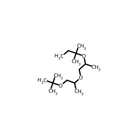 CCC(C)(C)OC(C)COC(C)COC(C)(C)C